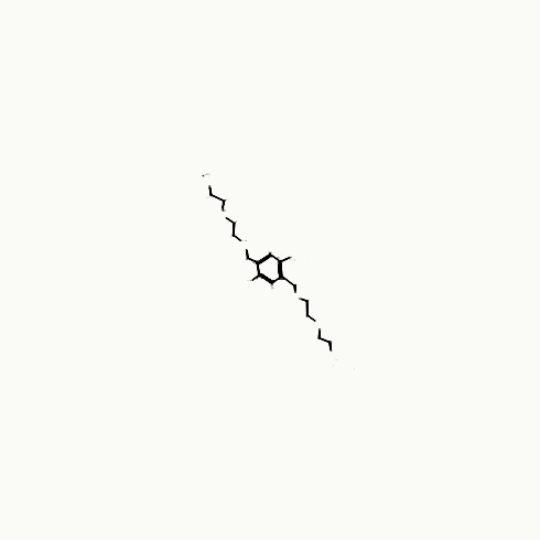 COCCOCCOCc1cc(C)c(COCCOCCOC)cc1C